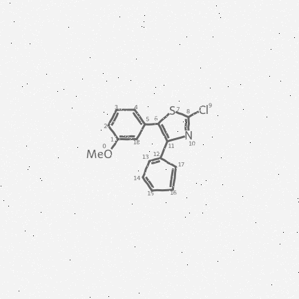 COc1cccc(-c2sc(Cl)nc2-c2ccccc2)c1